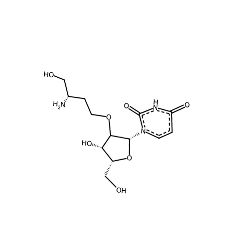 N[C@H](CO)CCOC1[C@@H](O)[C@@H](CO)O[C@H]1n1ccc(=O)[nH]c1=O